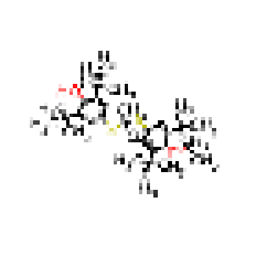 CCOc1c(C(C)(C)C)cc(SC(C)(C)Sc2cc(C(C)(C)C)c(O)c(C(C)(C)C)c2)cc1C(C)(C)C